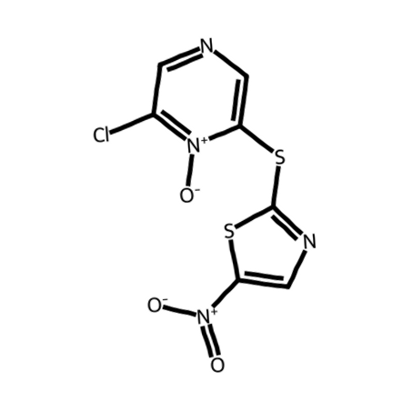 O=[N+]([O-])c1cnc(Sc2cncc(Cl)[n+]2[O-])s1